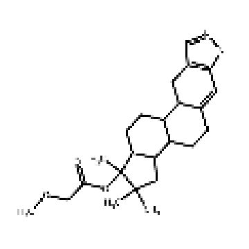 COCC(=O)OC1(C)C2CCC3C4Cc5cn[nH]c5C=C4CCC3C2CC1(C)C